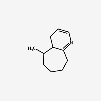 CC1CCCCC2=NC=CCC21